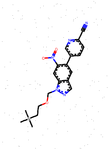 C[Si](C)(C)CCOCn1ncc2cc(-c3ccc(C#N)nc3)c([N+](=O)[O-])cc21